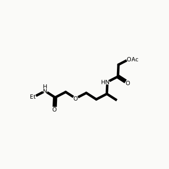 CCNC(=O)COCCC(C)NC(=O)COC(C)=O